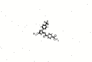 CC(=O)N1CCN(C(=O)N=c2sc(C)cn2-c2ccc(C(F)(F)F)cc2)CC1